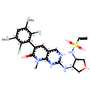 C=CS(=O)(=O)N[C@H]1COC[C@H]1Nc1ncc2cc(-c3c(Cl)c(OC)cc(OC)c3Cl)c(=O)n(C)c2n1